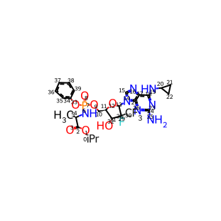 CC(C)OC(=O)[C@@H](C)N[P@](=O)(OC[C@H]1O[C@@H](n2cnc3c(NC4CC4)nc(N)nc32)[C@@](F)(C(F)(F)F)[C@@H]1O)Oc1ccccc1